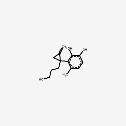 C=C1CC1(CCCO)c1c(C)ccc(O)c1O